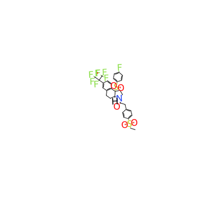 CCS(=O)(=O)c1ccc(CC(=O)N2CC[C@@]3(S(=O)(=O)c4ccc(F)cc4)c4ccc(C(F)(C(F)(F)F)C(F)(F)F)cc4CC[C@@H]23)cc1